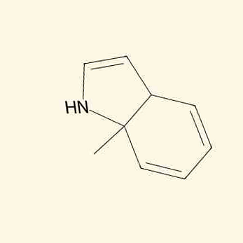 CC12C=CC=CC1C=CN2